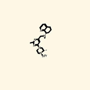 CCCN1CCN(c2cc(CN(C)[C@H]3CCCc4cccnc43)nc(C)n2)C[C@@H]1C